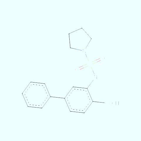 O=C(O)c1ccc(-c2ccccc2)cc1NS(=O)(=O)N1CCCC1